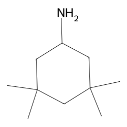 CC1(C)CC(N)CC(C)(C)C1